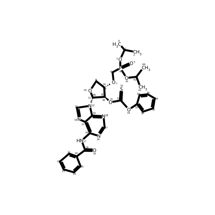 CC(C)OP(=O)(CO[C@H]1CO[C@@H](n2cnc3c(NC(=O)c4ccccc4)ncnc32)[C@@H]1OC(=S)Oc1ccccc1)OC(C)C